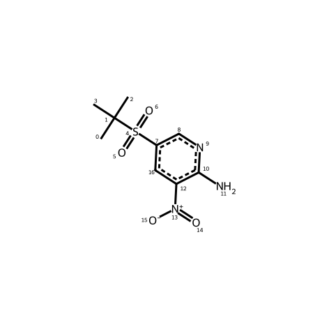 CC(C)(C)S(=O)(=O)c1cnc(N)c([N+](=O)[O-])c1